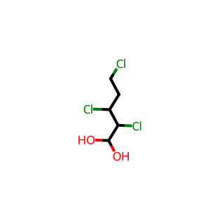 OC(O)C(Cl)C(Cl)CCCl